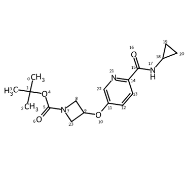 CC(C)(C)OC(=O)N1CC(Oc2ccc(C(=O)NC3CC3)nc2)C1